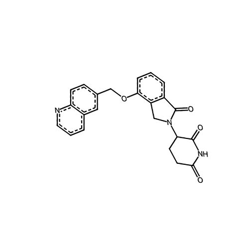 O=C1CCC(N2Cc3c(OCc4ccc5ncccc5c4)cccc3C2=O)C(=O)N1